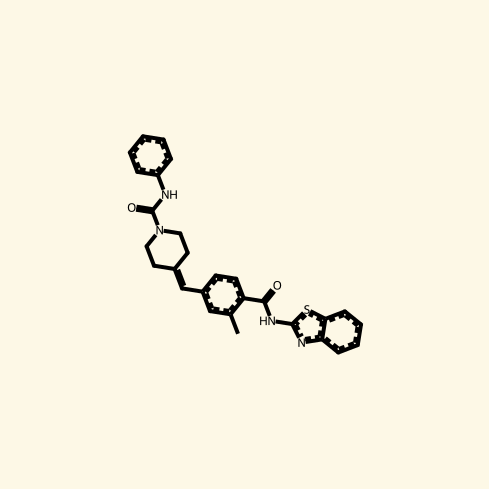 Cc1cc(C=C2CCN(C(=O)Nc3ccccc3)CC2)ccc1C(=O)Nc1nc2ccccc2s1